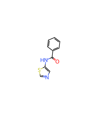 O=C(Nc1cncs1)c1ccccc1